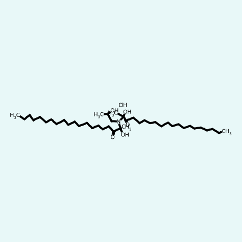 CCCCCCCCCCCCCCCCCC(=O)C(C)(O)N(CC(C)O)C(C)(O)C(=O)CCCCCCCCCCCCCCCCC.Cl